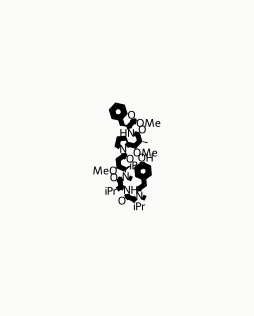 CC[C@H](C)[C@@H]([C@@H](CC(=O)N1CCC[C@H]1[C@H](OC)[C@@H](C)C(=O)N[C@@H](Cc1ccccc1)C(=O)OC)OC)N(C)C(=O)C(NC(=O)[C@H](C(C)C)N(C)CCc1ccc(O)cc1)C(C)C